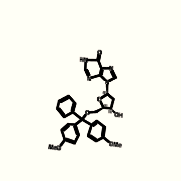 COc1ccc(C(OC[C@H]2O[C@@H](n3cnc4c(=O)[nH]cnc43)C[C@@H]2O)(c2ccccc2)c2ccc(OC)cc2)cc1